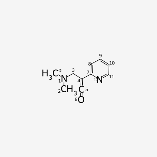 CN(C)CC(=C=O)c1ccccn1